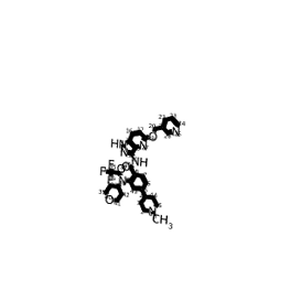 CN1CCC(c2ccc(C(=O)Nc3n[nH]c4ccc(OCc5cccnc5)nc34)c(N(C(=O)C(F)(F)F)C3CCOCC3)c2)CC1